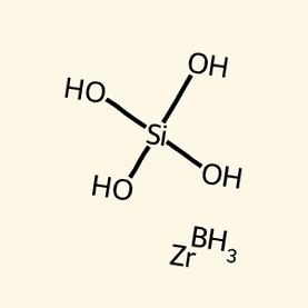 B.O[Si](O)(O)O.[Zr]